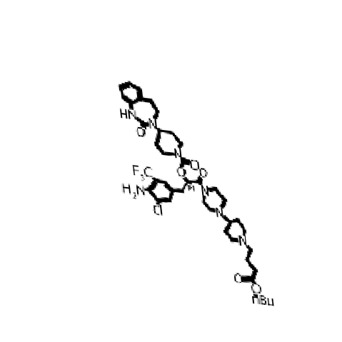 CCCCOC(=O)CCCN1CCC(N2CCN(C(=O)[C@@H](Cc3cc(Cl)c(N)c(C(F)(F)F)c3)OC(=O)N3CCC(N4CCc5ccccc5NC4=O)CC3)CC2)CC1